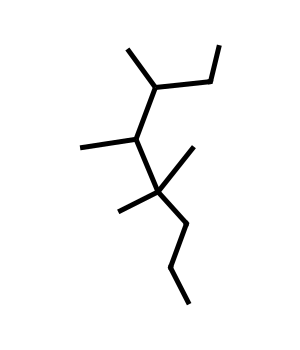 CCCC(C)(C)C(C)C(C)CC